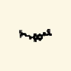 C=C(Cl)COc1ccc2nc(SCCC=C(F)F)oc2c1